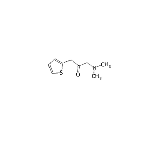 CN(C)CC(=O)Cc1cccs1